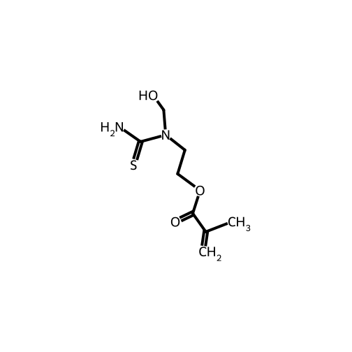 C=C(C)C(=O)OCCN(CO)C(N)=S